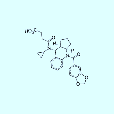 O=C(O)CCC(=O)N(C1CC1)[C@H]1c2ccccc2N(C(=O)c2ccc3c(c2)OCO3)[C@@H]2CCC[C@@H]21